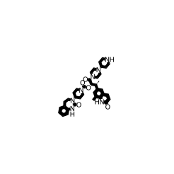 Cc1cc([C@@H](C)C(OC(=O)N2CCC(N3CCc4ccccc4NC3=O)CC2)C(=O)N2CCN(C3CCNCC3)CC2)cc2ccc(=O)[nH]c12